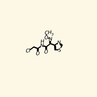 CO/N=C(\C(=O)NC(=O)CCl)c1cscn1